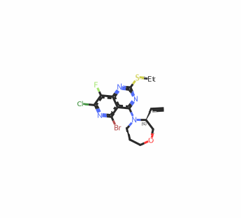 C=C[C@H]1COCCCN1c1nc(SCC)nc2c(F)c(Cl)nc(Br)c12